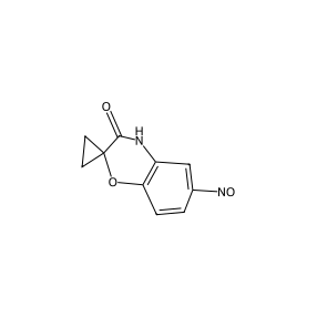 O=Nc1ccc2c(c1)NC(=O)C1(CC1)O2